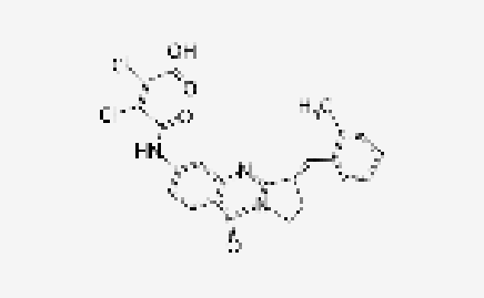 Cc1ccccc1C=C1CCn2c1nc1cc(NC(=O)/C(Cl)=C(/Cl)C(=O)O)ccc1c2=O